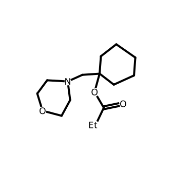 CCC(=O)OC1(CN2CCOCC2)CCCCC1